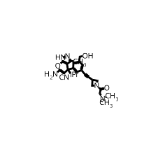 Cc1n[nH]c2c1C(c1cc(C#CC3CN(C(=O)CN(C)C)C3)cc(CO)c1)(C(C)C)C(C#N)=C(N)O2